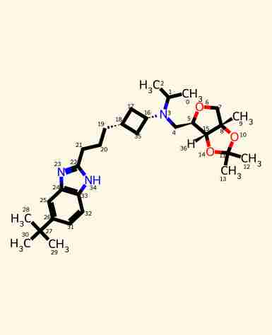 CC(C)N(C[C@H]1OC[C@]2(C)OC(C)(C)O[C@H]12)[C@H]1C[C@@H](CCCc2nc3cc(C(C)(C)C)ccc3[nH]2)C1